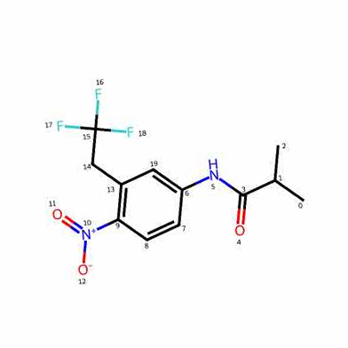 CC(C)C(=O)Nc1ccc([N+](=O)[O-])c(CC(F)(F)F)c1